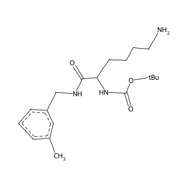 Cc1cccc(CNC(=O)C(CCCCN)NC(=O)OC(C)(C)C)c1